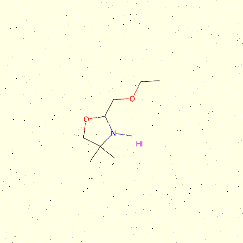 CCOCC1OCC(C)(C)N1C.I